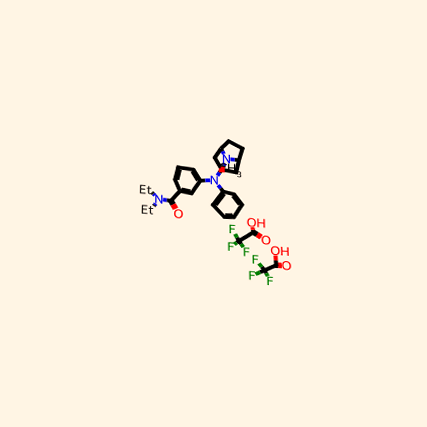 CCN(CC)C(=O)c1cccc(N(c2ccccc2)C2CC3CCC(C2)N3C)c1.O=C(O)C(F)(F)F.O=C(O)C(F)(F)F